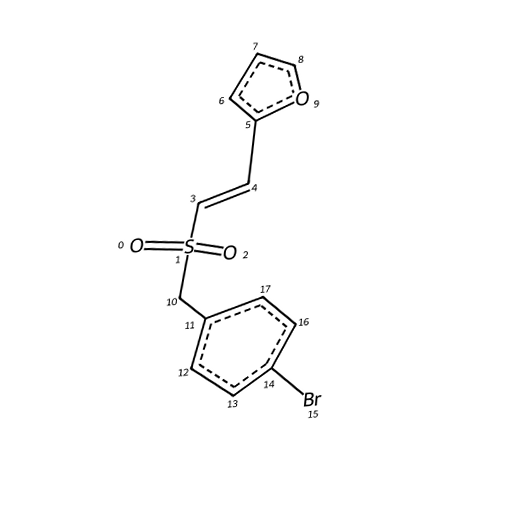 O=S(=O)(C=Cc1ccco1)Cc1ccc(Br)cc1